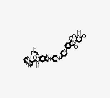 O=C1CCC(N2C(=O)c3ccc(N4CCC(CN5CCC(n6cc7cc(NC(=O)c8cnn9cccnc89)c(OCC(F)F)cc7n6)CC5)CC4)cc3C2=O)C(=O)N1